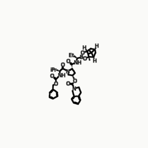 CC[C@H](NC(=O)[C@@H]1C[C@@H](OC(=O)N2CCc3ccccc3C2)CN1C(=O)[C@@H](NC(=O)OCc1ccccc1)C(C)C)B1O[C@@H]2C[C@@H]3C[C@@H](C3(C)C)[C@]2(C)O1